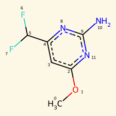 COc1cc(C(F)F)nc(N)n1